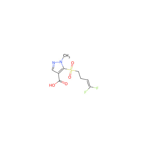 Cn1ncc(C(=O)O)c1S(=O)(=O)CCC=C(F)F